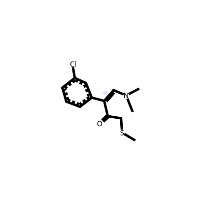 CSCC(=O)/C(=C\N(C)C)c1cccc(Cl)c1